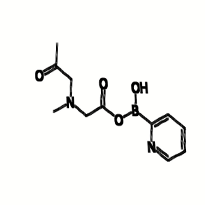 CC(=O)CN(C)CC(=O)OB(O)c1ccccn1